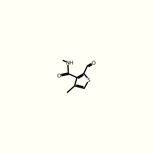 CNC(=O)c1c(C)csc1C=O